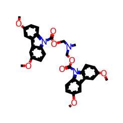 COc1ccc2c(c1)c1cc(OC)ccc1n2C(=O)OCN(C)COC(=O)n1c2ccc(OC)cc2c2cc(OC)ccc21